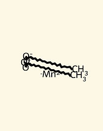 CCCCCCCCCCCCCCCCCC=CC(=O)[O-].CCCCCCCCCCCCCCCCCC=CC(=O)[O-].[Mn+2]